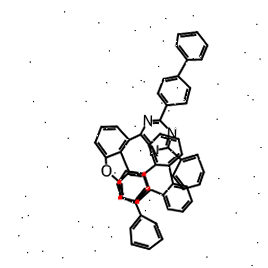 c1ccc(-c2ccc(-c3nc(-c4ccccc4)nc(-c4cccc5oc6ccc(-c7ccccc7-c7ccccc7-c7cccc(-c8ccccc8)c7)cc6c45)n3)cc2)cc1